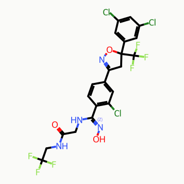 O=C(CN/C(=N\O)c1ccc(C2=NOC(c3cc(Cl)cc(Cl)c3)(C(F)(F)F)C2)cc1Cl)NCC(F)(F)F